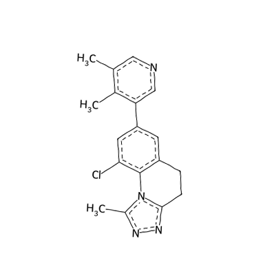 Cc1cncc(-c2cc(Cl)c3c(c2)CCc2nnc(C)n2-3)c1C